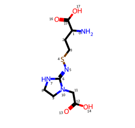 NC(CCS/N=C1\NCCN1CC(=O)O)C(=O)O